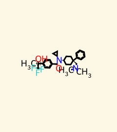 CN(C)C[C@]1(c2ccccc2)CC[C@@H](N(C(=O)c2ccc([C@](C)(O)C(F)(F)F)cc2)C2CC2)CC1